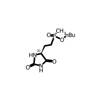 CCCCOP(C)(=O)CC[C@@H]1NC(=O)NC1=O